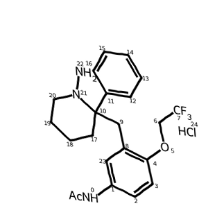 CC(=O)Nc1ccc(OCC(F)(F)F)c(CC2(c3ccccc3)CCCCN2N)c1.Cl